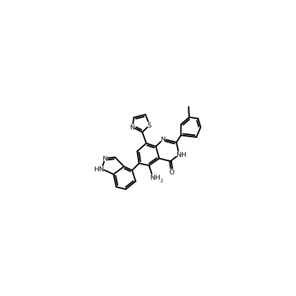 Cc1cccc(-c2nc3c(-c4nccs4)cc(-c4cccc5[nH]ncc45)c(N)c3c(=O)[nH]2)c1